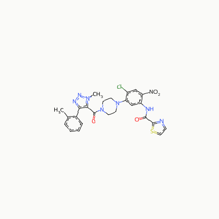 Cc1ccccc1-c1nnn(C)c1C(=O)N1CCN(c2cc(NC(=O)c3nccs3)c([N+](=O)[O-])cc2Cl)CC1